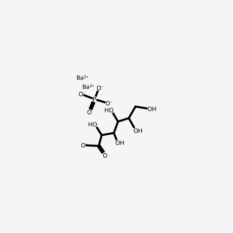 O=C([O-])C(O)C(O)C(O)C(O)CO.O=P([O-])([O-])[O-].[Ba+2].[Ba+2]